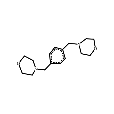 c1cc(CN2CCOCC2)ccc1CN1CCOCC1